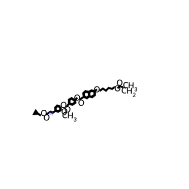 C=C(C)C(=O)OCCCCCCOc1ccc2cc(C(=O)Oc3ccc(C(=O)Oc4ccc(/C=C/C(=O)OCC5CC5)cc4OC)cc3)ccc2c1